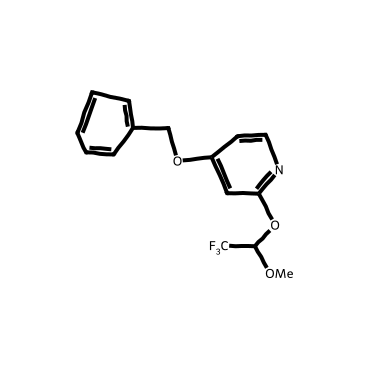 COC(Oc1cc(OCc2ccccc2)ccn1)C(F)(F)F